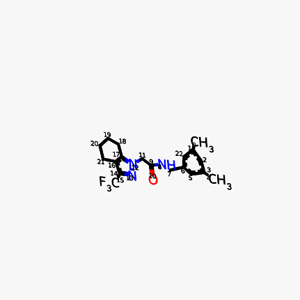 Cc1cc(C)cc(CNC(=O)Cn2nc(C(F)(F)F)c3c2CCCC3)c1